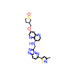 Cc1cc(-c2ccc3nnc(CNc4ccnc5cc(OCC6CC[S+]([O-])C6)cnc45)n3n2)sn1